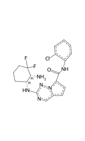 N[C@@H]1[C@H](Nc2ncc3ccc(C(=O)Nc4ccccc4Cl)n3n2)CCCC1(F)F